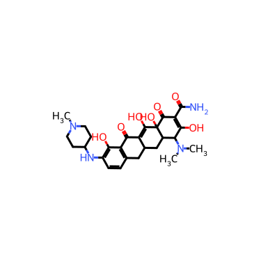 CN1CCC(Nc2ccc3c(c2O)C(=O)C2=C(O)C4(O)C(=O)C(C(N)=O)=C(O)C(N(C)C)C4CC2C3)CC1